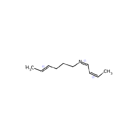 C/C=C\C=N/CCC/C=C/C